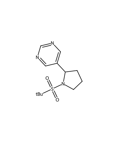 CC(C)(C)S(=O)(=O)N1CCCC1c1cncnc1